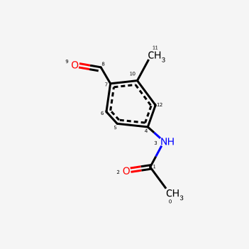 CC(=O)Nc1ccc(C=O)c(C)c1